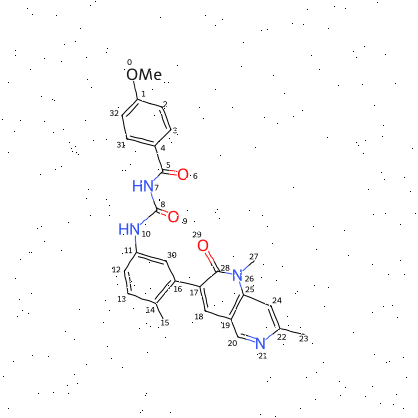 COc1ccc(C(=O)NC(=O)Nc2ccc(C)c(-c3cc4cnc(C)cc4n(C)c3=O)c2)cc1